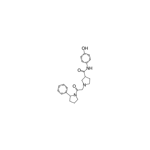 O=C(Nc1ccc(O)cc1)C1CCN(CC(=O)N2CCCC2c2ccccc2)C1